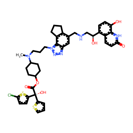 CN(CCCn1nnc2cc(CNC[C@H](O)c3ccc(O)c4[nH]c(=O)ccc34)c3c(c21)CCC3)C1CCC(OC(=O)[C@@](O)(c2cccs2)c2ccc(Cl)s2)CC1